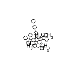 CC1(C)CCC(C)(C)c2c(-c3cc4c(cc3N(c3ccc(-c5ccc(-c6ccccc6)cc5)cc3)c3ccc5c(c3)C(C)(C)c3ccccc3-5)C(c3ccccc3)(c3ccccc3)c3ccccc3-4)cccc21